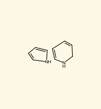 C1=CCNC=C1.c1cc[nH]c1